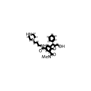 CNC(=O)c1cc(C(=O)NCCCN2CCNCC2)cc2c1OC(CO)[C@H]2c1ccccc1